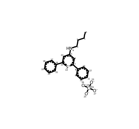 CCCCNc1cc(-c2ccccc2)[s+]c(-c2ccccc2)c1.[O-][Cl+3]([O-])([O-])[O-]